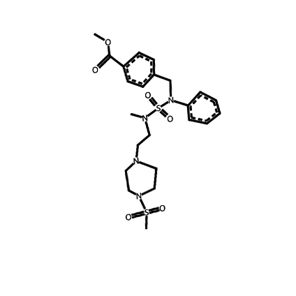 COC(=O)c1ccc(CN(c2ccccc2)S(=O)(=O)N(C)CCN2CCN(S(C)(=O)=O)CC2)cc1